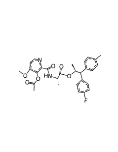 COc1ccnc(C(=O)N[C@@H](C)C(=O)O[C@@H](C)C(c2ccc(C)cc2)c2ccc(F)cc2)c1OC(C)=O